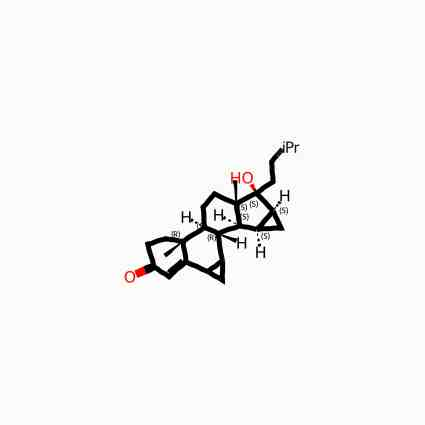 CC(C)CC[C@]1(O)[C@H]2C[C@H]2[C@H]2[C@@H]3C4CC4C4=CC(=O)CC[C@]4(C)[C@H]3CC[C@@]21C